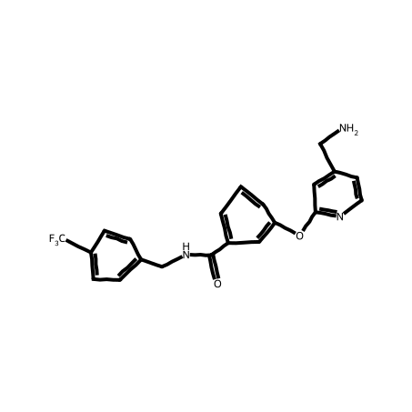 NCc1ccnc(Oc2cccc(C(=O)NCc3ccc(C(F)(F)F)cc3)c2)c1